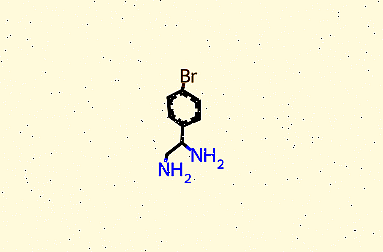 NCC(N)c1ccc(Br)cc1